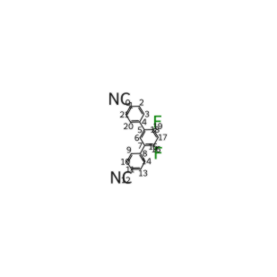 N#Cc1ccc(-c2cc(-c3ccc(C#N)cc3)c(F)cc2F)cc1